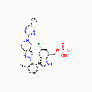 CCc1cccc(CC)c1-n1nc2c(c1-c1c(F)cc(COP(=O)(O)O)c3[nH]ccc13)CN(c1ncc(C(F)(F)F)cn1)CC2